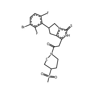 CS(=O)(=O)C1CCN(C(=O)Cc2[nH]c(=S)n3c2CC(c2c(F)ccc(Br)c2F)C3)CC1